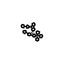 c1ccc(-c2ccc(-n3c4ccccc4c4ccc(-n5c6cc(-c7ccccc7)ccc6c6ccc([Si](c7ccccc7)(c7ccccc7)c7ccccc7)cc65)cc43)cc2)cc1